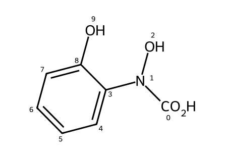 O=C(O)N(O)c1ccccc1O